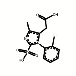 Cc1nc(S(=O)(=O)O)n(-c2ccccc2Cl)c1CC(=O)O